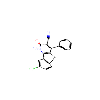 N#Cc1c(-c2ccccc2)c2c([nH]c1=O)-c1cc(Cl)ccc1C2